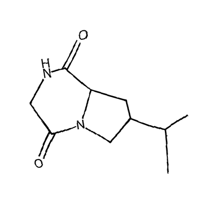 CC(C)C1CC2C(=O)NCC(=O)N2C1